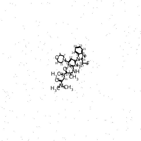 C[C@H](Nc1nc(N2CCOCC2)cc(-n2c(C(F)F)nc3ccccc32)n1)C(=O)N(C)CC(=O)N(C)C